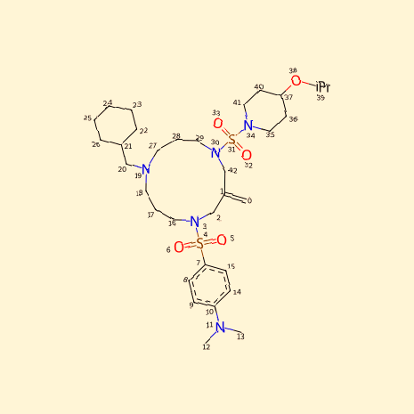 C=C1CN(S(=O)(=O)c2ccc(N(C)C)cc2)CCCN(CC2CCCCC2)CCCN(S(=O)(=O)N2CCC(OC(C)C)CC2)C1